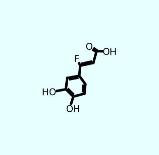 O=C(O)C=C(F)c1ccc(O)c(O)c1